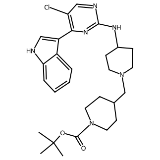 CC(C)(C)OC(=O)N1CCC(CN2CCC(Nc3ncc(Cl)c(-c4c[nH]c5ccccc45)n3)CC2)CC1